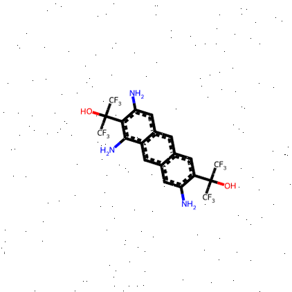 Nc1cc2cc3c(N)c(C(O)(C(F)(F)F)C(F)(F)F)c(N)cc3cc2cc1C(O)(C(F)(F)F)C(F)(F)F